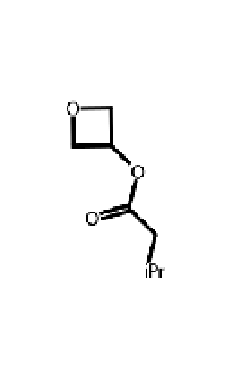 CC(C)CC(=O)OC1COC1